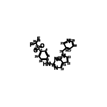 O=S(=O)(c1ccc(Nc2ncc3ccn(Cc4cccnc4)c3n2)cc1)C(F)F